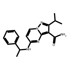 CC(C)c1nn2ccc(NC(C)c3ccccc3)nc2c1C(N)=O